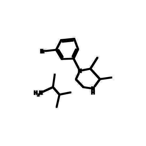 CC(C)C(C)N.CC1NCCN(c2cccc(Br)c2)C1C